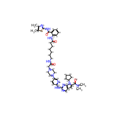 Cc1nc(NC(=O)c2ccccc2NC(=O)CCCCCCNC(=O)CN2CCN(c3ccc(Nc4ncc5cc(C(=O)N(C)C)n(C6CCCC6)c5n4)nc3)CC2)sc1C